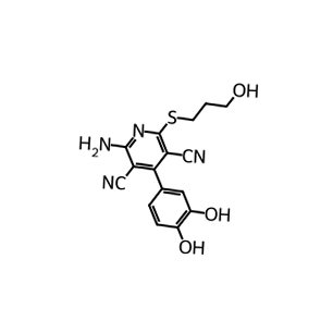 N#Cc1c(N)nc(SCCCO)c(C#N)c1-c1ccc(O)c(O)c1